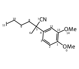 COc1ccc(C(C)(C#N)CCCI)cc1OC